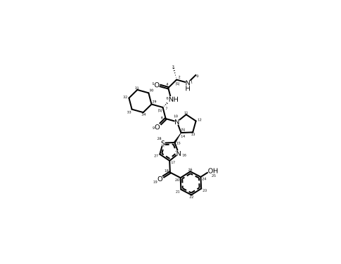 CN[C@@H](C)C(=O)N[C@H](C(=O)N1CCC[C@H]1c1nc(C(=O)c2cccc(O)c2)cs1)C1CCCCC1